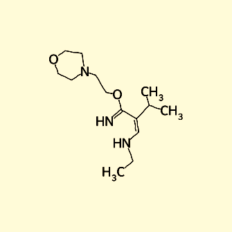 CCN/C=C(\C(=N)OCCN1CCOCC1)C(C)C